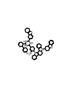 NC1=CC(C2NC(C3=CC=C4SC5=C(CCCC5)C4C3)NC(C3CC=CCC3C3=CC=CCC3)N2)CCC1N1C2=C(CCC3C2C2=C(CCC=C2)N3C2CCC3Oc4ccccc4C3C2)C2C=CCCC21